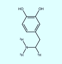 [2H]C(Cc1ccc(O)c(O)c1)N([2H])[2H]